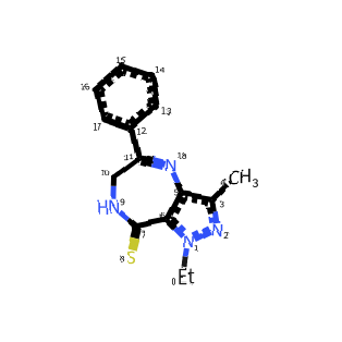 CCn1nc(C)c2c1C(=S)NCC(c1ccccc1)=N2